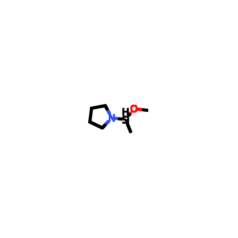 CO[SiH](C)N1CCCC1